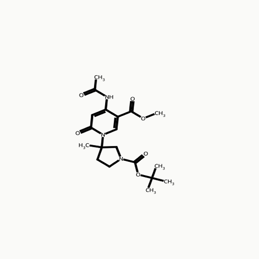 COC(=O)c1cn(C2(C)CCN(C(=O)OC(C)(C)C)C2)c(=O)cc1NC(C)=O